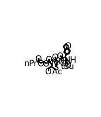 CCCC(=O)OCOC(=O)C1=C(COC(C)=O)CSC2C(NC(=O)C(NC(=O)OC(C)(C)C)c3ccc4c(c3)CCO4)C(=O)N12